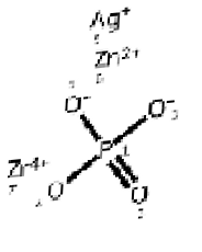 O=P([O-])([O-])[O-].[Ag+].[Zn+2].[Zr+4]